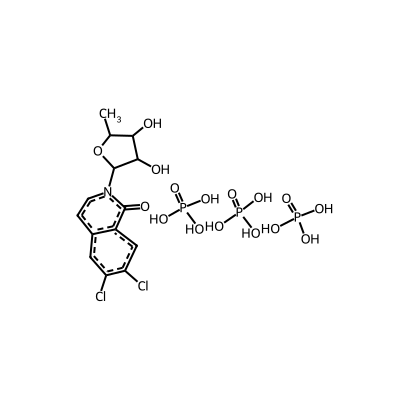 CC1OC(n2ccc3cc(Cl)c(Cl)cc3c2=O)C(O)C1O.O=P(O)(O)O.O=P(O)(O)O.O=P(O)(O)O